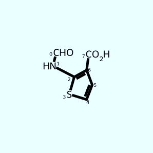 O=CNc1sccc1C(=O)O